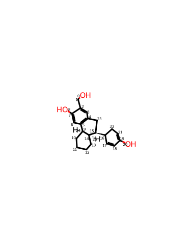 OCc1cc2c(cc1O)[C@@H]1CCCC[C@@H]1[C@H](C1C=CC(O)=CC1)C2